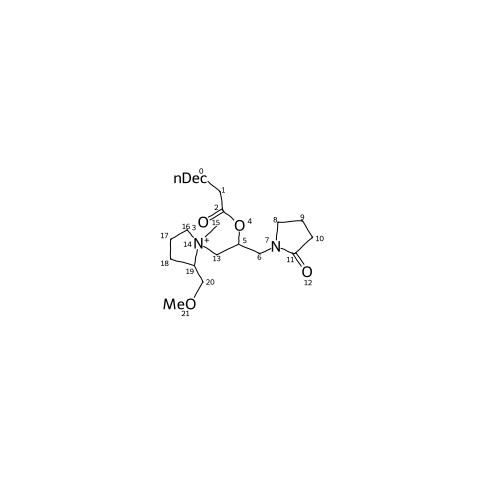 CCCCCCCCCCCC(=O)OC(CN1CCCC1=O)C[N+]1(C)CCCC1COC